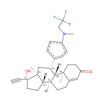 C#C[C@]1(O)CC[C@H]2[C@@H]3CCC4=CC(=O)CC[C@]4(C)[C@H]3[C@@H](c3ccc(N(C)CC(F)(F)F)cc3)C[C@@]21C